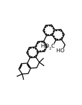 CC1(C)C=CC2=C(C1)CC(C)(C)c1c2ccc2cc(-c3cccc4ccc(CO)c(C(=O)O)c34)ccc12